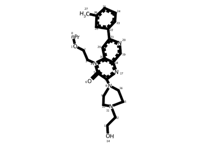 CCCOCCn1c(=O)c(N2CCN(CCO)CC2)nc2cnc(-c3cccc(C)c3)cc21